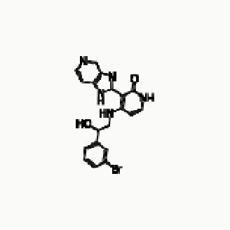 O=c1[nH]ccc(NCC(O)c2cccc(Br)c2)c1-c1nc2cnccc2[nH]1